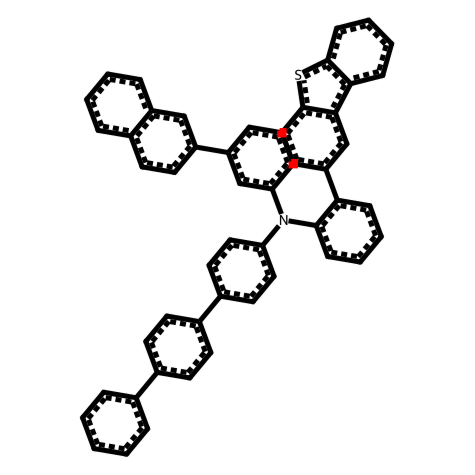 c1ccc(-c2ccc(-c3ccc(N(c4cccc(-c5ccc6ccccc6c5)c4)c4ccccc4-c4ccc5sc6ccccc6c5c4)cc3)cc2)cc1